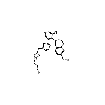 O=C(O)c1ccc2c(c1)CCCC(c1ccccc1Cl)=C2c1ccc(CC2CN(CCCF)C2)cc1